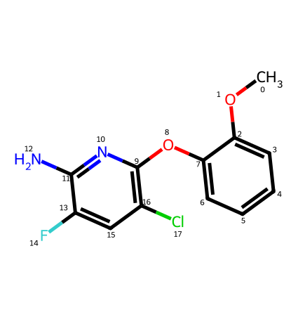 COc1ccccc1Oc1nc(N)c(F)cc1Cl